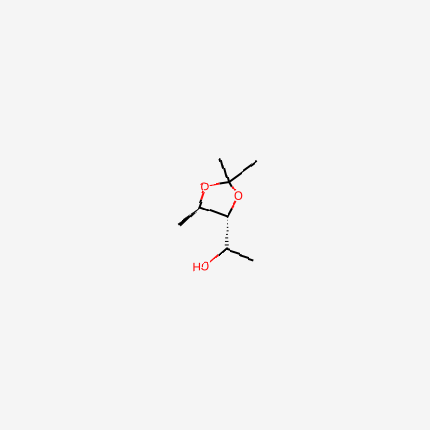 CC(O)[C@H]1OC(C)(C)O[C@@H]1C